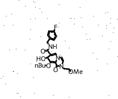 CCCCOC1=C2C(=O)N(CCOC)C=CN2C=C(C(=O)NCc2ccc(F)cc2)C1O